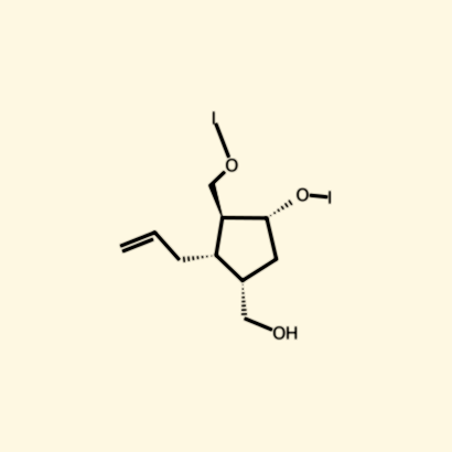 C=CC[C@H]1[C@@H](CO)C[C@@H](OI)[C@@H]1COI